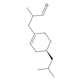 CC(C)C[C@H]1CC=C(CC(C)C=O)CC1